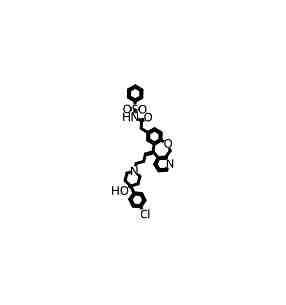 O=C(Cc1ccc2c(c1)/C(=C/CCN1CCC(O)(c3ccc(Cl)cc3)CC1)c1cccnc1CO2)NS(=O)(=O)c1ccccc1